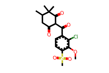 COc1c(S(C)(=O)=O)ccc(C(=O)C2C(=O)CC(C)C(C)(C)C2=O)c1Cl